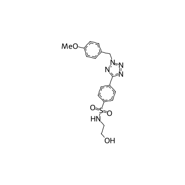 COc1ccc(Cn2nnc(-c3ccc(S(=O)(=O)NCCO)cc3)n2)cc1